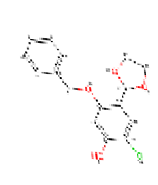 Oc1cc(OCc2ccccc2)c(C2OCCO2)cc1Cl